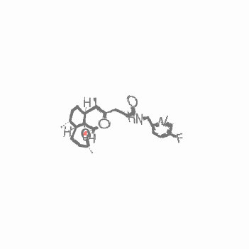 C[C@H]1[C@@H](CCC(=O)NCc2ccc(F)cn2)O[C@@H]2O[C@]3(C)CC[C@H]4[C@H](C)CC[C@@H]1[C@@]24OO3